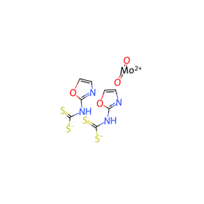 S=C([S-])Nc1ncco1.S=C([S-])Nc1ncco1.[O]=[Mo+2]=[O]